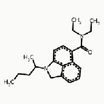 CCCC(C)N1Cc2cccc3c(C(=O)N(CC)CC)ccc1c23